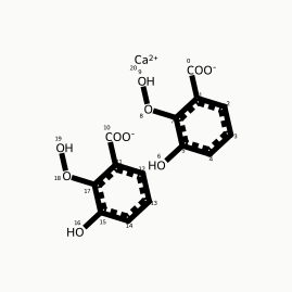 O=C([O-])c1cccc(O)c1OO.O=C([O-])c1cccc(O)c1OO.[Ca+2]